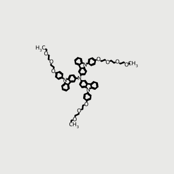 CCOCCOCCOc1ccc(-n2c3ccccc3c3cc(N(c4ccc5c(c4)c4ccccc4n5-c4ccc(OCCOCCOCC)cc4)c4ccc5c(c4)c4ccccc4n5-c4ccc(OCCOCCOCCOC)cc4)ccc32)cc1